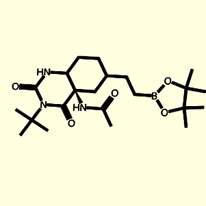 CC(=O)N[C@]12CC(CCB3OC(C)(C)C(C)(C)O3)CCC1NC(=O)N(C(C)(C)C)C2=O